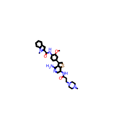 COc1cc(-c2csc3c(NC(=O)CCN4CCN(C)CC4)cnc(N)c23)ccc1NC(=O)c1cc2ccccc2n1C